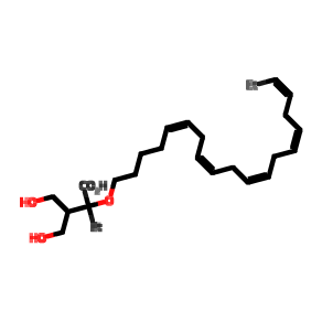 CC/C=C\C/C=C\C/C=C\C/C=C\C/C=C\CCCCOC(CC)(C(=O)O)C(CO)CO